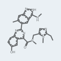 CCc1ncc(CN(C)C(=O)c2nc(-c3cc4c(NC)[nH]nc4cc3C)nc3ccc(O)cc23)n1C